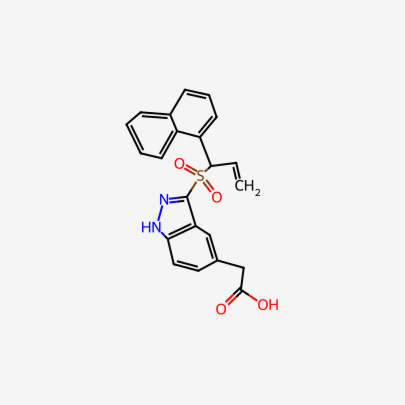 C=CC(c1cccc2ccccc12)S(=O)(=O)c1n[nH]c2ccc(CC(=O)O)cc12